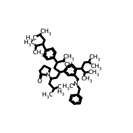 CC(C)CC(c1ccc(C(CC(CC(CC(C)C)N2CCCC2=O)c2ccc(C(CC(C)C)C(C)C)c(CN(C)Cc3ccccc3)c2)C(C)C)cc1)C(C)C